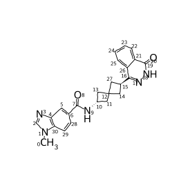 Cn1cnc2cc(C(=O)N[C@H]3CC4(C3)C[C@H](c3n[nH]c(=O)c5ccccc53)C4)ccc21